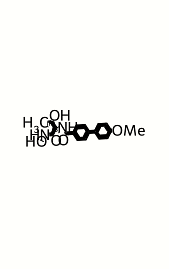 COc1ccc(-c2ccc(C(=O)N[C@H](C(=O)NO)[C@@H](C)O)cc2)cc1